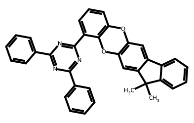 CC1(C)c2ccccc2-c2cc3c(cc21)Oc1c(cccc1-c1nc(-c2ccccc2)nc(-c2ccccc2)n1)O3